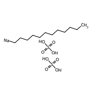 CCCCCCCCCCC[CH2][Na].O=S(=O)(O)O.O=S(=O)(O)O